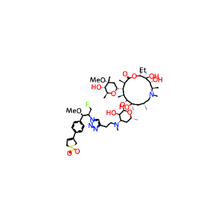 CC[C@H]1OC(=O)[C@H](C)[C@@H](C2C[C@@](C)(OC)[C@@H](O)[C@H](C)O2)[C@H](C)[C@@H](O[C@@H]2O[C@H](C)C[C@H](N(C)CCc3cn([C@H](CF)[C@H](OC)c4ccc(C5=CCS(=O)(=O)C5)cc4)nn3)[C@H]2O)[C@](C)(O)C[C@@H](C)CN(C)[C@H](C)[C@@H](O)[C@]1(C)O